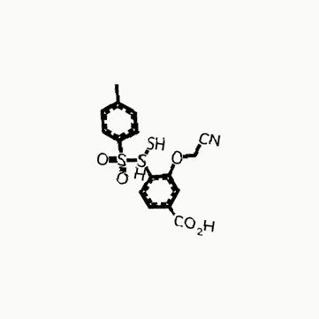 Cc1ccc(S(=O)(=O)[SH](S)c2ccc(C(=O)O)cc2OCC#N)cc1